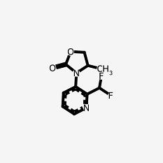 CC1COC(=O)N1c1cccnc1C(F)F